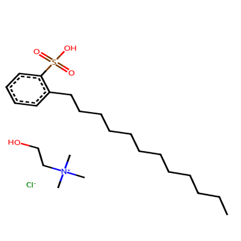 CCCCCCCCCCCCc1ccccc1S(=O)(=O)O.C[N+](C)(C)CCO.[Cl-]